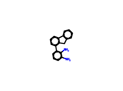 Nc1cccc(-c2cccc3c2Cc2ccccc2-3)c1N